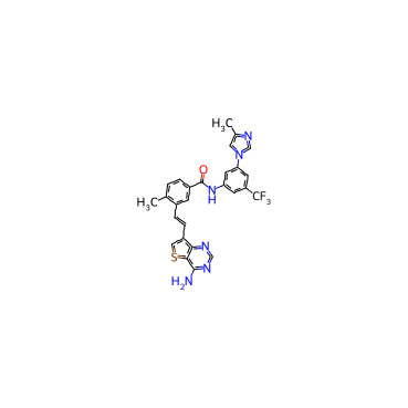 Cc1cn(-c2cc(NC(=O)c3ccc(C)c(/C=C/c4csc5c(N)ncnc45)c3)cc(C(F)(F)F)c2)cn1